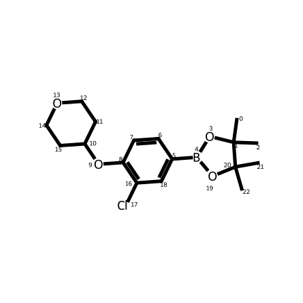 CC1(C)OB(c2ccc(OC3CCOCC3)c(Cl)c2)OC1(C)C